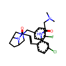 CN(C)CC(=O)Nc1cc(Cl)ccc1/C=C/C(=O)N1C2CCC1CN(Cc1ccc(F)cc1)C2